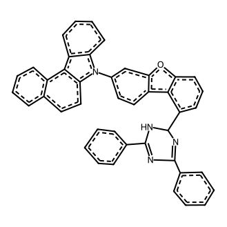 c1ccc(C2=NC(c3cccc4oc5cc(-n6c7ccccc7c7c8ccccc8ccc76)ccc5c34)NC(c3ccccc3)=N2)cc1